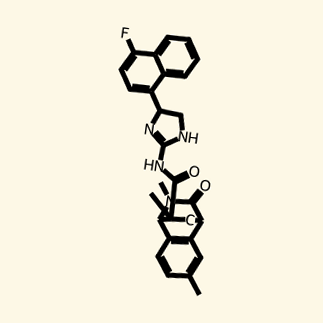 Cc1ccc2c(c1)C1CC(C)(C(=O)NC3=NC(c4ccc(F)c5ccccc45)CN3)C2N(C)C1=O